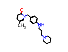 Cc1ccc(=O)n(Cc2ccc(NCCCN3CCCCC3)cc2)c1